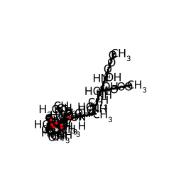 COCCOCCOCC[C@H](O)NCCCCC(N[C@@H](O)CCOCCOCCOC)[C@@H](O)NCCCCC(N[C@@H](O)C(C)CCCCN[C@H](O)COC[C@H](O)O[C@H]([C@H](O)O[C@@H]1C[C@]2(O)[C@H](O[C@H](O)c3ccccc3)[C@H]3[C@@]4(O[C@H](C)O)CO[C@H]4C[C@@H](O)[C@]3(C)[C@@H](O)[C@@H](O)[C@@H](C1C)C2(C)C)[C@H](NC(=O)OC(C)(C)C)c1ccccc1)[C@@H](C)O